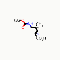 C[C@H](/C=C/C(=O)O)CNC(=O)OC(C)(C)C